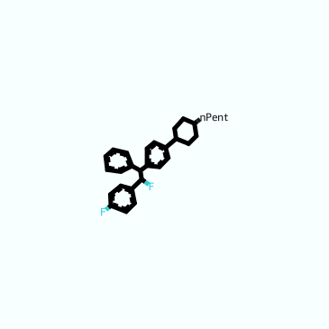 CCCCCC1CCC(c2ccc(C(c3ccccc3)C(F)c3ccc(F)cc3)cc2)CC1